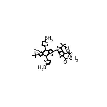 Bc1ccc(-c2c3cc(C(C)(C)CC)sc3c(-c3ccc(B)s3)c3cc(-c4sc(C(C)(C)CC)c5c6c(sc45)C(=O)N(B)S6(=O)=O)sc23)s1